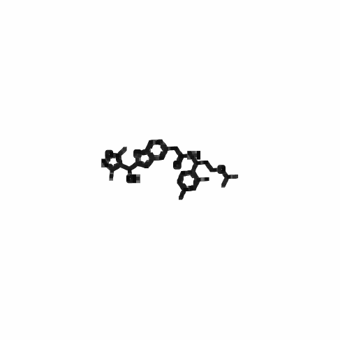 Cc1ccc(C(CCOC(C)C)NC(=O)Cc2ccc3oc(C(O)c4c(C)noc4C)cc3c2)c(C)c1